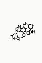 C[C@H]1CN2c3ncnc4c(F)c(-c5c(O)cccc5F)c(Cl)c(c34)OCC[C@H]2CN1